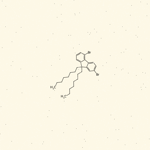 CCCCCCCCC1(CCCCCCCC)c2cc(Br)ccc2-c2c(Br)cccc21